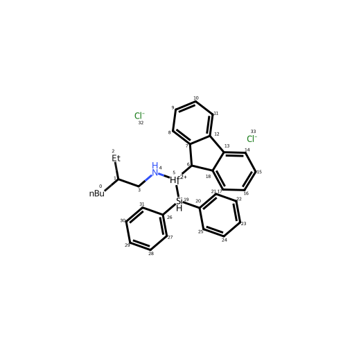 CCCCC(CC)C[NH][Hf+2]([CH]1c2ccccc2-c2ccccc21)[SiH](c1ccccc1)c1ccccc1.[Cl-].[Cl-]